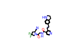 N#CC1CC(F)(F)CN1C(=O)CNC(=O)c1ccncc1/C=C/c1ccc2c(c1)CCCN2